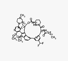 CCn1c(-c2cc(N3CCN(C)CC3)cnc2[C@H](C)OC)c2c3cc(ccc31)-c1cc(C(F)F)cc(n1)C[C@H](NC(=O)[C@H]1C[C@@H]1C)C(=O)N1CCC[C@H](N1)C(=O)OCC(C)(C)C2